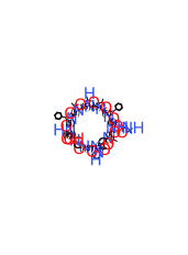 CC(C)C[C@@H]1NC(=O)[C@H](CC(C)C)N(C)C(=O)[C@H](CCc2ccccc2)N(C)C(=O)[C@H](COCC(=O)NC(C)(C)C)NC(=O)[C@H](CC(C)C)N(C)C(=O)C[C@@H](C(=O)N2CCCCC2)NC(=O)[C@H](C)N(C)C(=O)CN(C)C(=O)[C@H]([C@@H](C)O)NC(=O)[C@H](CCc2ccccc2)N(C)C(=O)[C@H](CC(C)C)N(C)C1=O